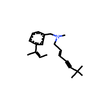 C/C=C(/C)c1cccc(CN(C)CC=CC#CC(C)(C)C)c1